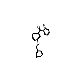 O=C(c1cccc(OCc2ccccc2)c1)c1ccccc1F